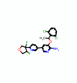 CC(Oc1cc(-c2ccc(C3(F)COCC3F)nc2)cnc1N)c1c(Cl)cccc1Cl